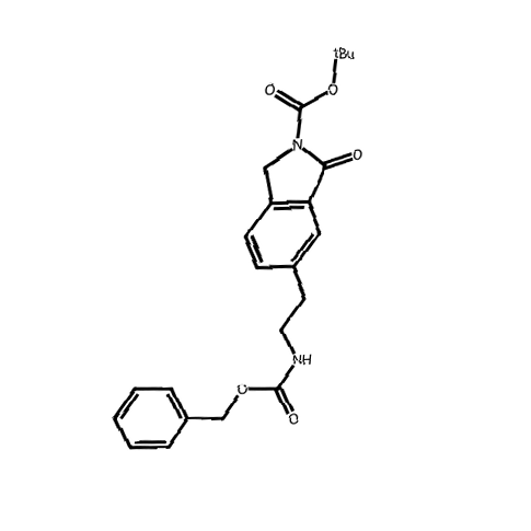 CC(C)(C)OC(=O)N1Cc2ccc(CCNC(=O)OCc3ccccc3)cc2C1=O